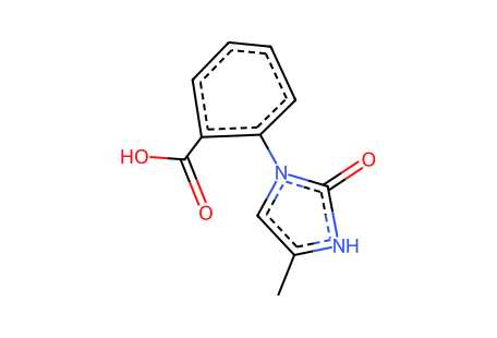 Cc1cn(-c2ccccc2C(=O)O)c(=O)[nH]1